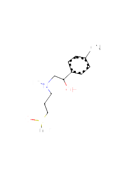 CCC[S+]([O-])CCCN(CC)CC(O)c1ccc(C#N)cc1